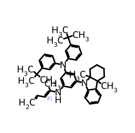 C=C/C=C(\C)Nc1cc(N(c2cccc(C(C)(C)C)c2)c2cccc(C(C)(C)C)c2)cc(N2c3ccccc3C3(C)CCCCC23C)c1